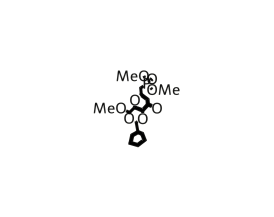 COC(=O)c1oc(CP(=O)(OC)OC)cc(=O)c1OCc1ccccc1